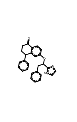 O=C1CCC(c2ccccc2)c2cc(OC(Cc3ccccc3)c3ncc[nH]3)ccc21